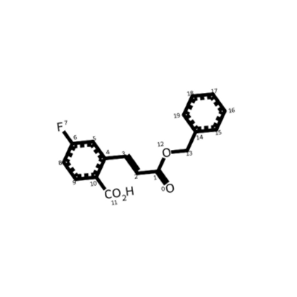 O=C(C=Cc1cc(F)ccc1C(=O)O)OCc1ccccc1